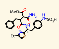 CCc1csc([C@H](Cc2ccc(NS(=O)(=O)O)cc2)NC(=O)C(Cc2ccccc2)C(C(N)=O)C(=O)OC)n1